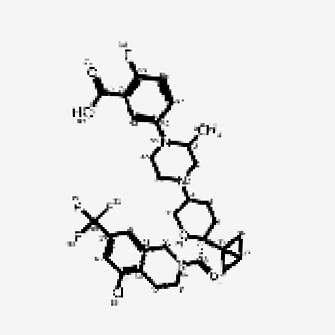 CC1CN(C2CC[C@@](C(=O)N3CCc4c(Cl)cc(C(F)(F)F)cc4C3)(C34CC3C4)OC2)CCN1c1ccc(F)c(C(=O)O)c1